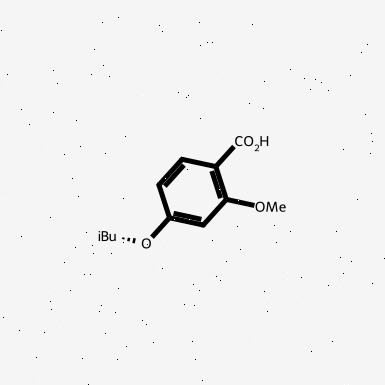 CC[C@@H](C)Oc1ccc(C(=O)O)c(OC)c1